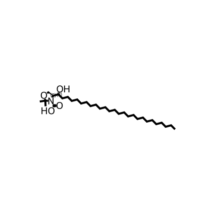 CCCCCCCCCCCCCCCCCCCCCCCCC[C@@H](O)[C@@H]1COC(C)(C)N1C(=O)O